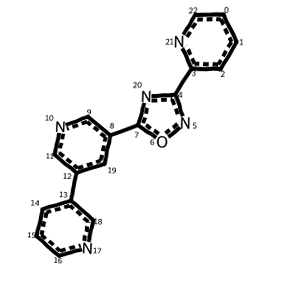 c1ccc(-c2noc(-c3cncc(-c4cccnc4)c3)n2)nc1